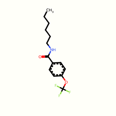 CCCCCCNC(=O)c1ccc(OC(F)(F)F)cc1